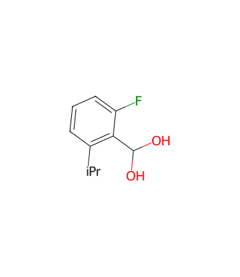 CC(C)c1cccc(F)c1C(O)O